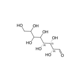 O=C[C@H](O)[C@@H](O)[C@H](O)C(O)C(O)C(O)CO